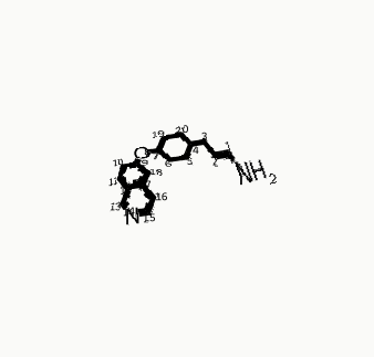 NCCCC1CCC(Oc2ccc3cnccc3c2)CC1